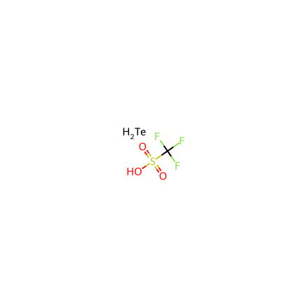 O=S(=O)(O)C(F)(F)F.[TeH2]